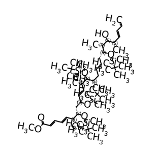 C=CC=C[C@H](C)[C@H](O)[C@@H](C)[C@@H](CCCC[C@H](C)[C@@H](O[Si](C)(C)C(C)(C)C)[C@@H](C)C=C[C@H](C[C@H](O[Si](C)(C)C(C)(C)C)[C@H](C)C=CC=CC(=O)OC)O[Si](C)(C)C(C)(C)C)O[Si](C)(C)C(C)(C)C